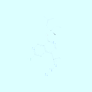 CC[C@@](C)(N=[N+]=[N-])c1cnc(O[C@](C)(CC(C)C)SC)c2cnc(Cl)cc12